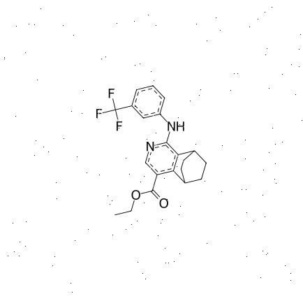 CCOC(=O)c1cnc(Nc2cccc(C(F)(F)F)c2)c2c1C1CCC2CC1